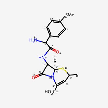 CSc1ccc(C(N)C(=O)NC2C(=O)N3C(C(=O)O)=CC(C)S[C@H]23)cc1